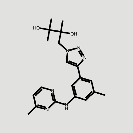 Cc1cc(Nc2nccc(C)n2)cc(-c2cn(CC(C)(O)C(C)(C)O)nn2)c1